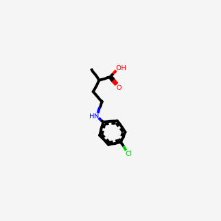 CC(CCNc1ccc(Cl)cc1)C(=O)O